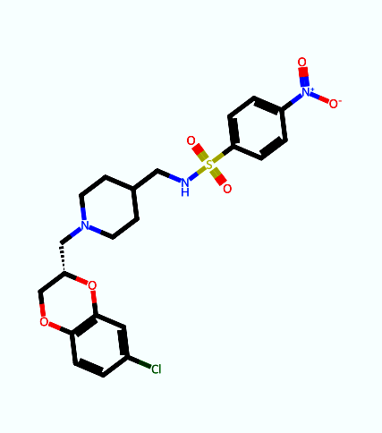 O=[N+]([O-])c1ccc(S(=O)(=O)NCC2CCN(C[C@H]3COc4ccc(Cl)cc4O3)CC2)cc1